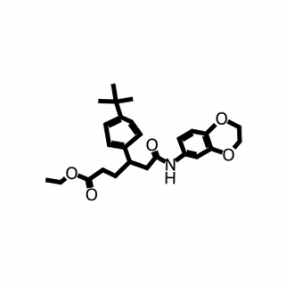 CCOC(=O)CCC(CC(=O)Nc1ccc2c(c1)OCCO2)c1ccc(C(C)(C)C)cc1